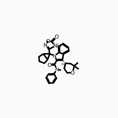 CN(C(=O)c1c([C@H]2CCOC(C)(C)C2)c2ccccc2n1C1(c2noc(=O)[nH]2)C2CCCC21)c1ccccc1